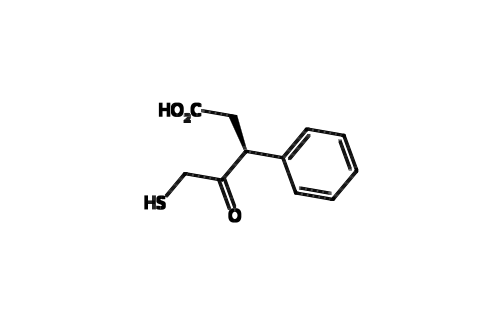 O=C(O)C[C@H](C(=O)CS)c1ccccc1